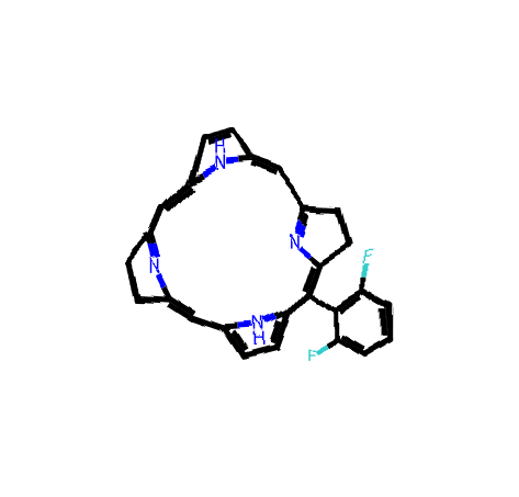 Fc1cccc(F)c1-c1c2nc(cc3ccc(cc4nc(cc5ccc1[nH]5)CC4)[nH]3)CC2